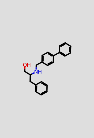 OCC(Cc1ccccc1)NCc1ccc(-c2ccccc2)cc1